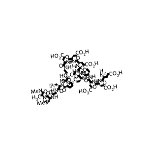 CNC(=O)[C@H](C)NC(=O)[C@H](CSC)NC(=O)CNC(=O)[C@H](CC(C)C)NC(=O)[C@@H]1CCCN1C(=O)COCCNC(=O)[C@@H](CCC(=O)O)NC(=O)[C@@H](CCC(=O)O)NC(=O)[C@@H](CCC(=O)O)NC(=O)[C@@H](CCC(=O)O)NC(=O)[C@@H](CCC(=O)O)NC(=O)[C@@H](CCC(=O)O)NC(=O)[C@@H](CCC(=O)O)NC(=O)[C@@H](CCC(=O)O)NC(=O)[C@H](N)CCC(=O)O